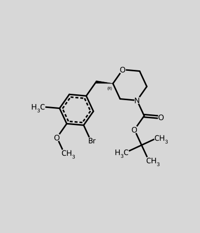 COc1c(C)cc(C[C@@H]2CN(C(=O)OC(C)(C)C)CCO2)cc1Br